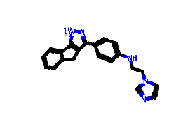 c1ccc2c(c1)Cc1c(-c3ccc(NCCn4ccnc4)cc3)n[nH]c1-2